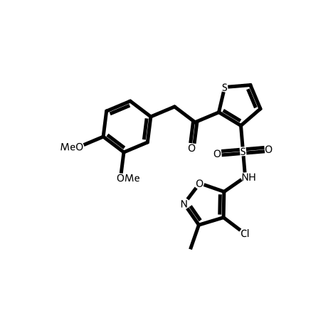 COc1ccc(CC(=O)c2sccc2S(=O)(=O)Nc2onc(C)c2Cl)cc1OC